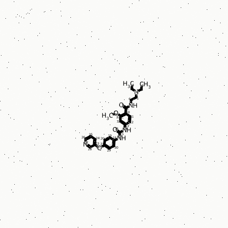 CCN(CC)CCNC(=O)c1ccc(NC(=O)Nc2ccc(Oc3cccnc3)cc2)cc1OC